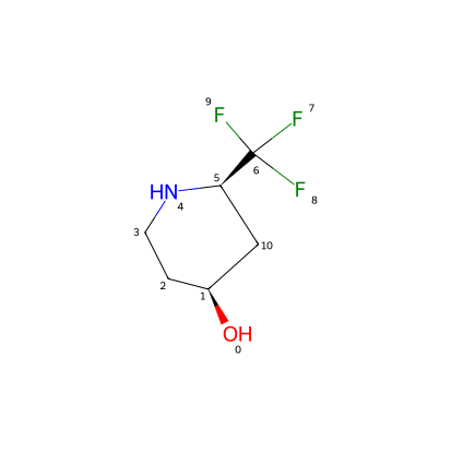 O[C@H]1CCN[C@@H](C(F)(F)F)C1